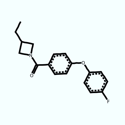 CCC1CN(C(=O)c2ccc(Oc3ccc(F)cc3)cc2)C1